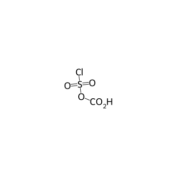 O=C(O)OS(=O)(=O)Cl